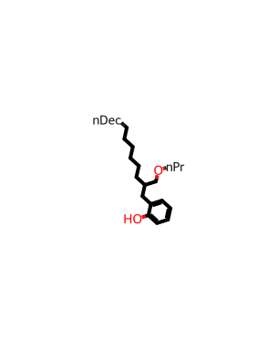 CCCCCCCCCCCCCCCCC(COCCC)Cc1ccccc1O